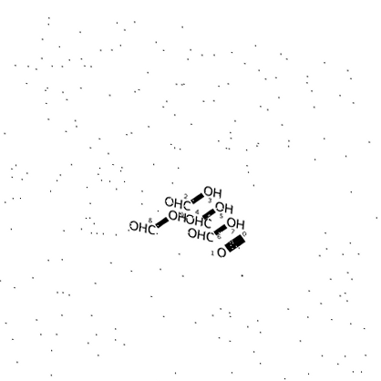 C=O.O=CO.O=CO.O=CO.O=CO